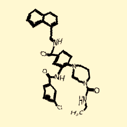 CCNC(=O)N1CCCN(c2ccc(C(=O)NCc3cccc4ccccc34)cc2NC(=O)c2cccc(Cl)c2)CC1